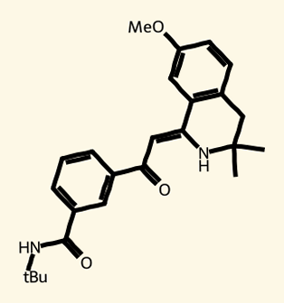 COc1ccc2c(c1)/C(=C/C(=O)c1cccc(C(=O)NC(C)(C)C)c1)NC(C)(C)C2